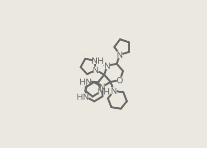 C1CCN(C2(N3CCNCC3)OCC(N3CCCC3)[N]C2(C2NCCN2)N2CCCN2)CC1